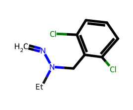 C=NN(CC)Cc1c(Cl)cccc1Cl